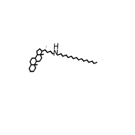 CCCCCCCCCCCCCCCCNCCC[C@@H](C)C1CCC2C3CCC4CCCCC4(C)C3CCC21C